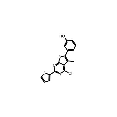 Cc1c(-c2cccc(O)c2)sc2nc(-c3cccs3)nc(Cl)c12